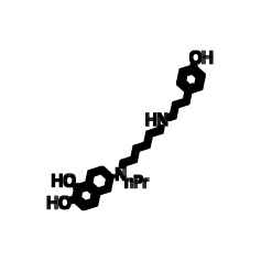 CCCN(CCCCCCNCCCc1ccc(O)cc1)[C@H]1CCc2c(ccc(O)c2O)C1